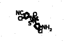 CC1(C)C(=O)N(c2ccc(C#N)c(Cl)c2)C(=S)N1c1ccc(Cl)c(N)c1